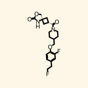 O=C1N[C@]2(CO1)C[C@@H](C(=O)N1CCC(COc3ccc(CCF)cc3F)CC1)C2